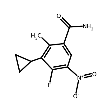 Cc1c(C(N)=O)cc([N+](=O)[O-])c(F)c1C1CC1